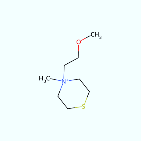 COCC[N+]1(C)CCSCC1